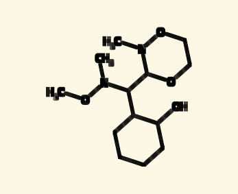 CON(C)C(C1CCCCC1O)C1OCCON1C